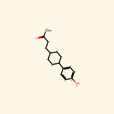 COC(=O)CCC1CCC(c2ccc(O)cc2)CC1